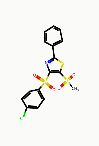 CS(=O)(=O)c1sc(-c2ccccc2)nc1S(=O)(=O)c1ccc(Cl)cc1